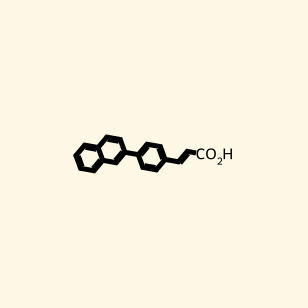 O=C(O)/C=C/c1ccc(-c2ccc3ccccc3c2)cc1